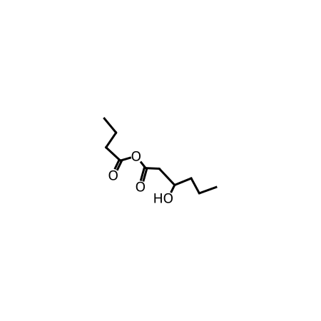 CCCC(=O)OC(=O)CC(O)CCC